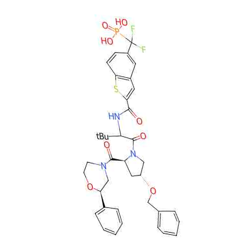 CC(C)(C)C(NC(=O)c1cc2cc(C(F)(F)P(=O)(O)O)ccc2s1)C(=O)N1C[C@H](OCc2ccccc2)C[C@H]1C(=O)N1CCO[C@H](c2ccccc2)C1